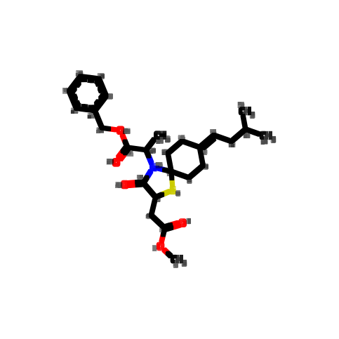 COC(=O)CC1SC2(CCC(=CCC(C)C)CC2)N(C(C)C(=O)OCc2ccccc2)C1=O